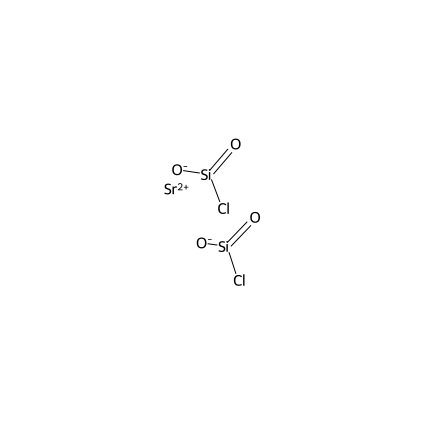 O=[Si]([O-])Cl.O=[Si]([O-])Cl.[Sr+2]